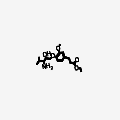 CCOC(=O)CCc1ccc(OCC(O)C(N)C(C)C)c(OC)c1